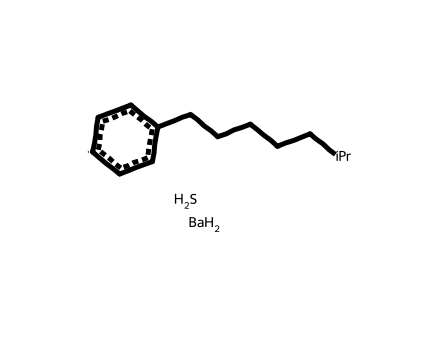 CC(C)CCCCCc1cc[c]cc1.S.[BaH2]